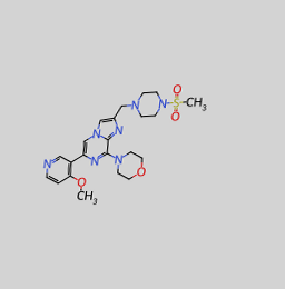 COc1ccncc1-c1cn2cc(CN3CCN(S(C)(=O)=O)CC3)nc2c(N2CCOCC2)n1